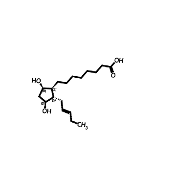 CCC=CC[C@H]1[C@H](CCCCCCCC(=O)O)[C@H](O)C[C@@H]1O